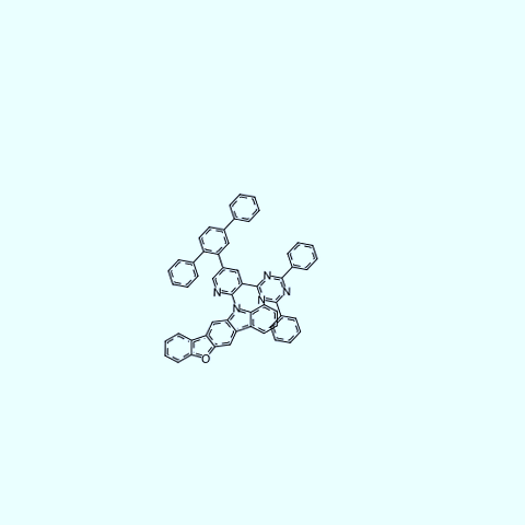 c1ccc(-c2ccc(-c3ccccc3)c(-c3cnc(-n4c5ccccc5c5cc6oc7ccccc7c6cc54)c(-c4nc(-c5ccccc5)nc(-c5ccccc5)n4)c3)c2)cc1